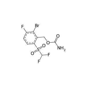 NC(=O)OCc1c(S(=O)(=O)C(F)F)ccc(F)c1Br